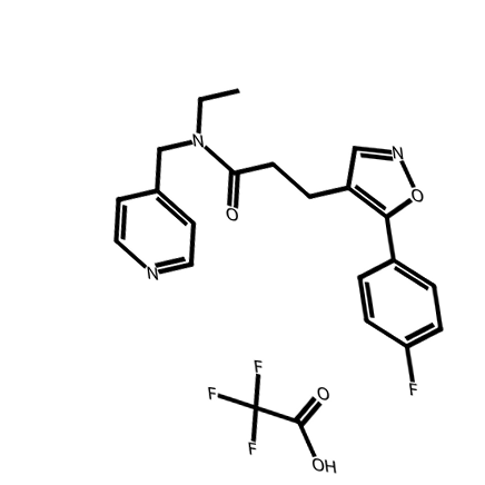 CCN(Cc1ccncc1)C(=O)CCc1cnoc1-c1ccc(F)cc1.O=C(O)C(F)(F)F